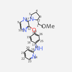 COC[C@@H]1CCCN1c1nccnc1Oc1ccc(Nc2ccccn2)cc1